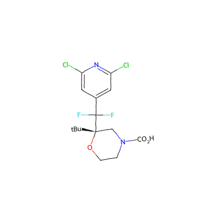 CC(C)(C)[C@@]1(C(F)(F)c2cc(Cl)nc(Cl)c2)CN(C(=O)O)CCO1